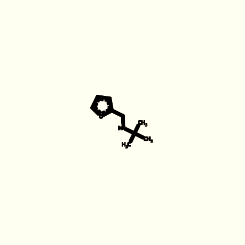 CC(C)(C)NCc1ccco1